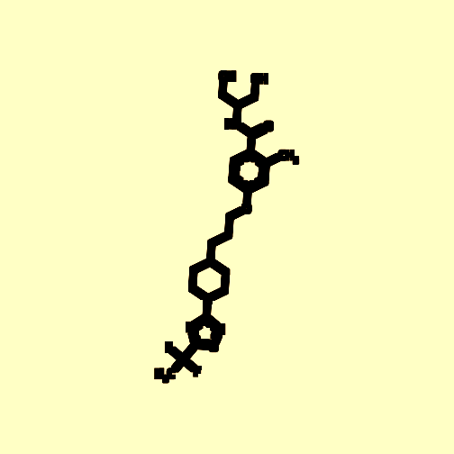 Cc1cc(OCCCC2CCN(c3noc(C(C)(F)F)n3)CC2)ccc1C(=O)NC(CO)CO